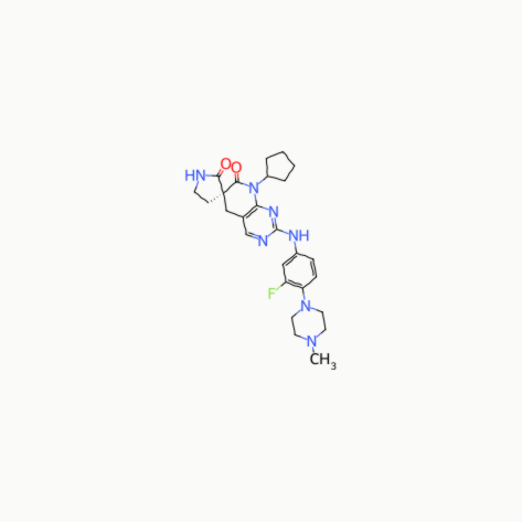 CN1CCN(c2ccc(Nc3ncc4c(n3)N(C3CCCC3)C(=O)[C@@]3(CCNC3=O)C4)cc2F)CC1